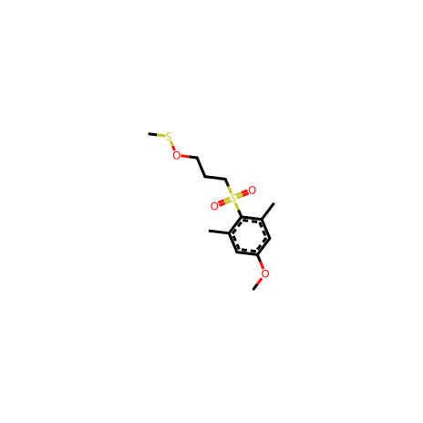 COc1cc(C)c(S(=O)(=O)CCCOSC)c(C)c1